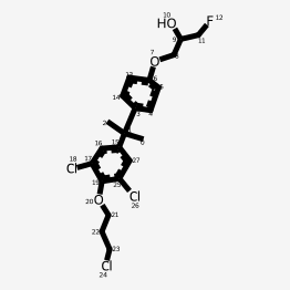 CC(C)(c1ccc(OCC(O)CF)cc1)c1cc(Cl)c(OCCCCl)c(Cl)c1